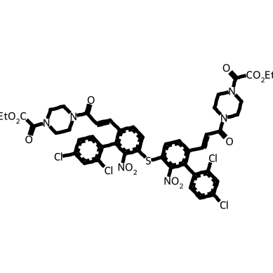 CCOC(=O)C(=O)N1CCN(C(=O)/C=C/c2ccc(Sc3ccc(/C=C/C(=O)N4CCN(C(=O)C(=O)OCC)CC4)c(-c4ccc(Cl)cc4Cl)c3[N+](=O)[O-])c([N+](=O)[O-])c2-c2ccc(Cl)cc2Cl)CC1